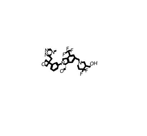 Cn1cnnc1CC1(c2cccc(N3Cc4c(cc(CN5CCC(F)(F)C(CO)C5)cc4C(F)(F)F)[C@@H]3C=O)c2)COC1